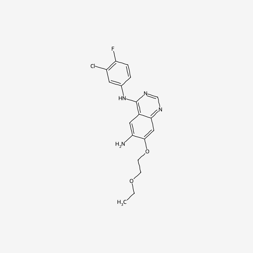 CCOCCOc1cc2ncnc(Nc3ccc(F)c(Cl)c3)c2cc1N